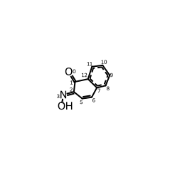 O=C1/C(=N/O)C=Cc2ccccc21